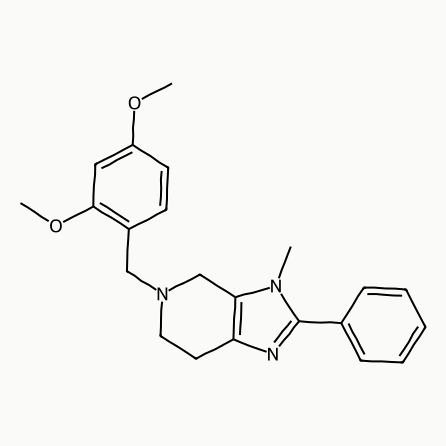 COc1ccc(CN2CCc3nc(-c4ccccc4)n(C)c3C2)c(OC)c1